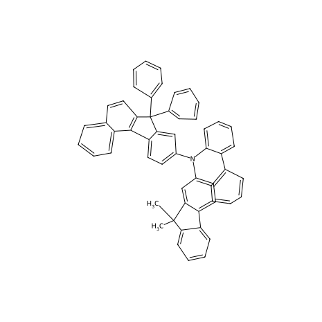 CC1(C)c2ccccc2-c2ccc(N(c3ccc4c(c3)C(c3ccccc3)(c3ccccc3)c3ccc5ccccc5c3-4)c3ccccc3-c3ccccc3)cc21